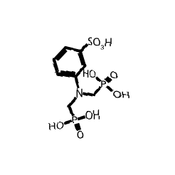 O=P(O)(O)CN(CP(=O)(O)O)c1cccc(S(=O)(=O)O)c1